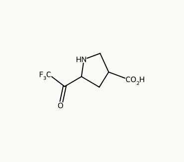 O=C(O)C1CNC(C(=O)C(F)(F)F)C1